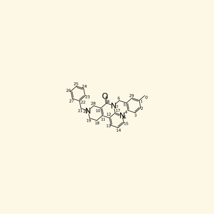 Cc1cccc(Cn2c(=O)c3c(c4cccnc42)CCN(Cc2ccccc2)C3)c1